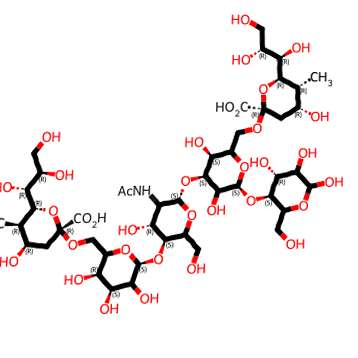 CC(=O)NC1[C@H](O[C@@H]2C(O)[C@H](O[C@@H]3C(CO)OC(O)C(O)[C@H]3O)OC(CO[C@]3(C(=O)O)C[C@@H](O)[C@@H](C)[C@H]([C@H](O)[C@H](O)CO)O3)[C@@H]2O)OC(CO)[C@@H](O[C@@H]2OC(CO[C@]3(C(=O)O)C[C@@H](O)[C@@H](C)[C@H]([C@H](O)[C@H](O)CO)O3)[C@H](O)[C@H](O)C2O)[C@@H]1O